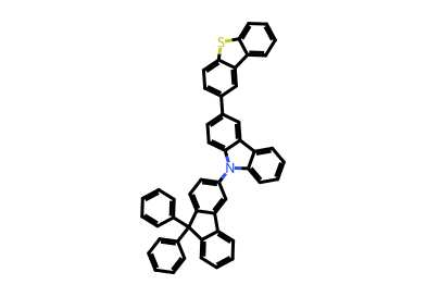 c1ccc(C2(c3ccccc3)c3ccccc3-c3cc(-n4c5ccccc5c5cc(-c6ccc7sc8ccccc8c7c6)ccc54)ccc32)cc1